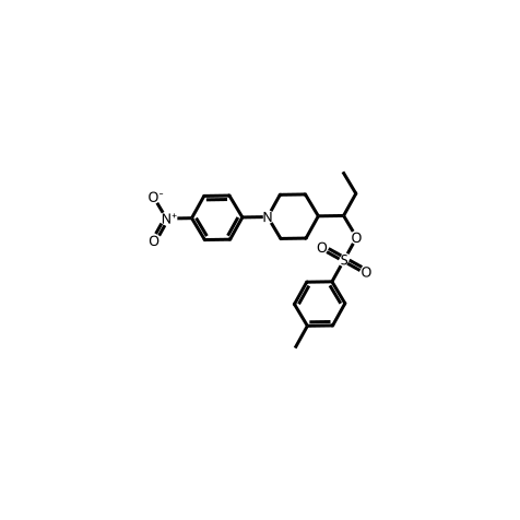 CCC(OS(=O)(=O)c1ccc(C)cc1)C1CCN(c2ccc([N+](=O)[O-])cc2)CC1